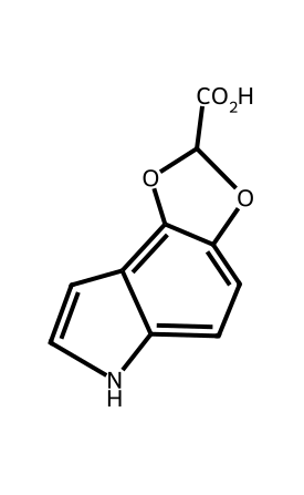 O=C(O)C1Oc2ccc3[nH]ccc3c2O1